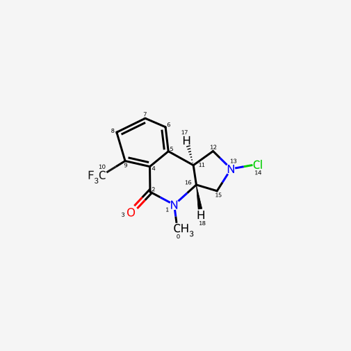 CN1C(=O)c2c(cccc2C(F)(F)F)[C@H]2CN(Cl)C[C@@H]21